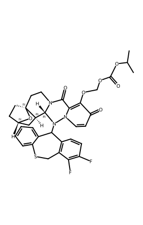 CC(C)OC(=O)OCOc1c2n(ccc1=O)N(C1c3ccccc3SCc3c1ccc(F)c3F)[C@@H]1[C@H]3C[C@@H]4CC[C@@]3(CCN1C2=O)O4